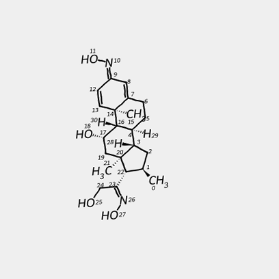 C[C@@H]1C[C@H]2[C@@H]3CCC4=C/C(=N/O)C=C[C@]4(C)[C@H]3[C@@H](O)C[C@]2(C)[C@H]1/C(CO)=N/O